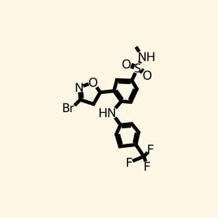 CNS(=O)(=O)c1ccc(Nc2ccc(C(F)(F)F)cc2)c(C2CC(Br)=NO2)c1